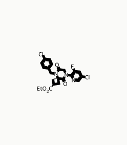 CCOC(=O)[C@H]1C[C@@]2(C1)C(=O)N(c1ncc(Cl)cc1F)CC(=O)N2Cc1ccc(Cl)cc1